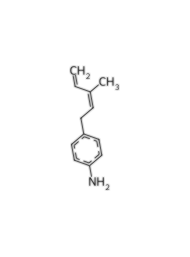 C=C/C(C)=C\Cc1ccc(N)cc1